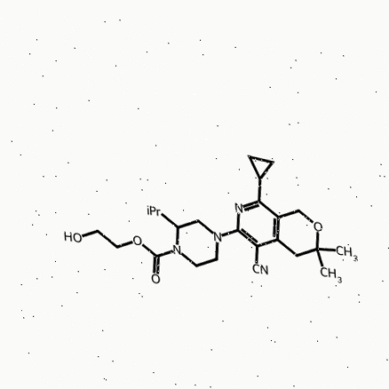 CC(C)C1CN(c2nc(C3CC3)c3c(c2C#N)CC(C)(C)OC3)CCN1C(=O)OCCO